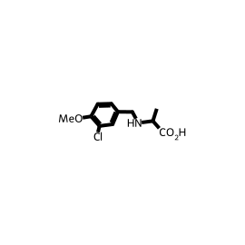 COc1ccc(CNC(C)C(=O)O)cc1Cl